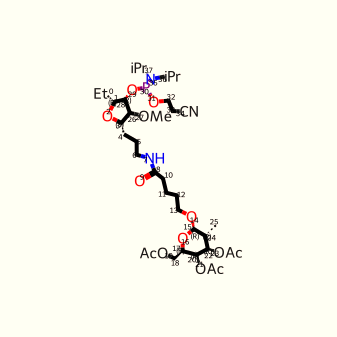 CC[C@H]1O[C@@H](CCCNC(=O)CCCCO[C@@H]2O[C@H](COC(C)=O)[C@H](OC(C)=O)[C@H](OC(C)=O)[C@H]2C)C(OC)[C@@H]1OP(OCCC#N)N(C(C)C)C(C)C